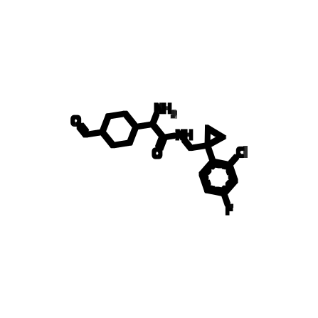 NC(C(=O)NCC1(c2ccc(F)cc2Cl)CC1)C1CCC(C=O)CC1